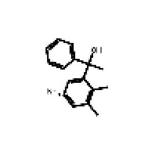 Cc1cccc(C(C)(O)c2ccccc2)c1C.N